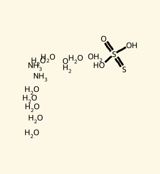 N.N.O.O.O.O.O.O.O.O.O.O.O=S(O)(O)=S